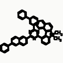 C[Si]1(C)c2cccc(-c3nc(-c4cccc(-c5ccccc5)c4)nc(-c4ccc5cc(-c6ccccc6)ccc5c4)n3)c2-c2c1ccc1ccccc21